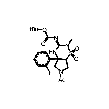 CC(=O)N1CC2C(c3ccccc3F)(C1)N/C(=N\C(=O)OC(C)(C)C)N(C)S2(=O)=O